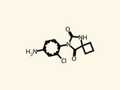 Nc1ccc(N2C(=O)NC3(CCC3)C2=O)c(Cl)c1